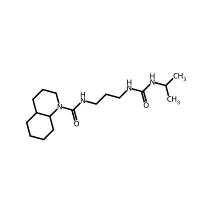 CC(C)NC(=O)NCCCNC(=O)N1CCCC2CCCCC21